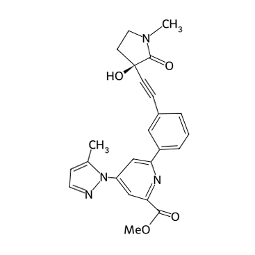 COC(=O)c1cc(-n2nccc2C)cc(-c2cccc(C#C[C@]3(O)CCN(C)C3=O)c2)n1